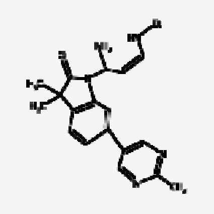 CCN/C=C\C(N)N1C(=O)C(C)(C)c2ccc(-c3cnc(C)nc3)cc21